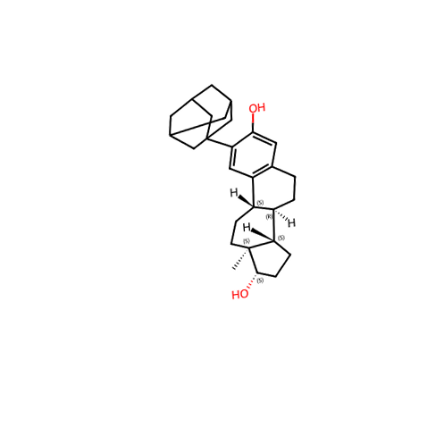 C[C@]12CC[C@@H]3c4cc(C56CC7CC(CC(C7)C5)C6)c(O)cc4CC[C@H]3[C@@H]1CC[C@@H]2O